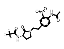 CC(=O)Nc1ccc(CCN2CC[C@H](NC(=O)C(F)(F)F)C2=O)cc1[N+](=O)[O-]